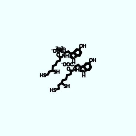 O=C(CCCCC(S)CCS)N[C@@H](Cc1c[nH]c2ccc(O)cc12)C(=O)[O-].O=C(CCCCC(S)CCS)N[C@@H](Cc1c[nH]c2ccc(O)cc12)C(=O)[O-].[NaH].[Zn+2]